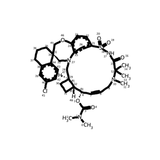 CN(C)C(=O)O[C@H]1C=CCN(C)C(C)(C)C(=O)NS(=O)(=O)c2ccc3c(c2)N(C[C@@H]2CC[C@H]21)C[C@@]1(CCCc2cc(Cl)ccc21)CO3